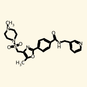 Cc1oc(-c2ccc(C(=O)NCc3cccnc3)cc2)nc1CS(=O)(=O)N1CCN(C)CC1